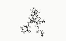 CC(C)OC(=O)[C@H](CCC(=O)C=[N+]=[N-])NC(=O)[C@H](CCCCN1CCOCC1=O)NC(=O)C12CC3CC(CC(C3)C1)C2